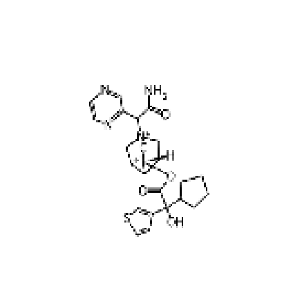 NC(=O)C(c1cnccn1)[N+]12CCC(CC1)[C@@H](OC(=O)C(O)(c1ccsc1)C1CCCC1)C2